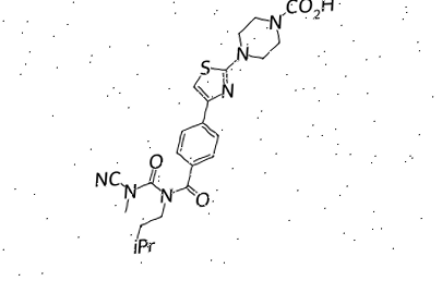 CC(C)CCN(C(=O)c1ccc(-c2csc(N3CCN(C(=O)O)CC3)n2)cc1)C(=O)N(C)C#N